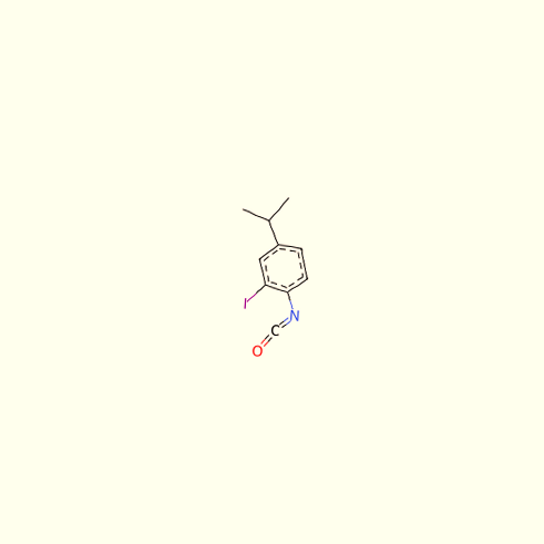 CC(C)c1ccc(N=C=O)c(I)c1